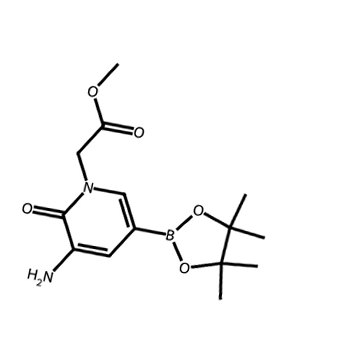 COC(=O)Cn1cc(B2OC(C)(C)C(C)(C)O2)cc(N)c1=O